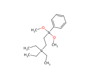 CC[Si](CC)(CC)CC[Si](OC)(OC)c1ccccc1